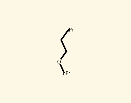 [CH2]CCOCCC(C)C